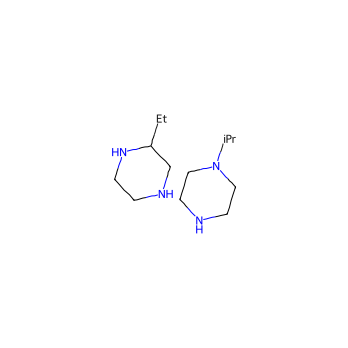 CC(C)N1CCNCC1.CCC1CNCCN1